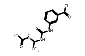 CC(C)C(=O)NC(NC(=S)Nc1cccc(C(=O)Cl)c1)C(Cl)(Cl)Cl